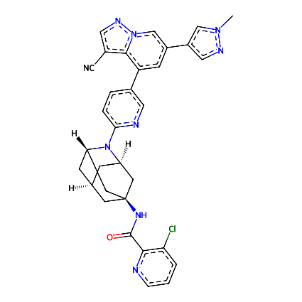 Cn1cc(-c2cc(-c3ccc(N4[C@@H]5C[C@@H]6C[C@H]4C[C@@](NC(=O)c4ncccc4Cl)(C6)C5)nc3)c3c(C#N)cnn3c2)cn1